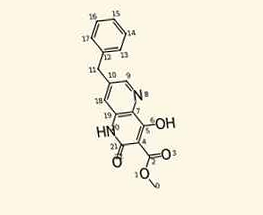 COC(=O)c1c(O)c2ncc(Cc3ccccc3)cc2[nH]c1=O